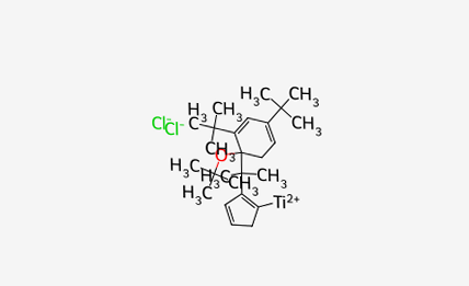 CC(C)(C)OC1(C(C)(C)C2=[C]([Ti+2])CC=C2)CC=C(C(C)(C)C)C=C1C(C)(C)C.[Cl-].[Cl-]